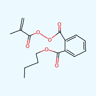 C=C(C)C(=O)OOC(=O)c1ccccc1C(=O)OCCCC